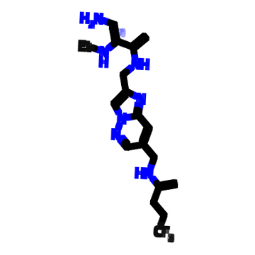 C=C(CCC(F)(F)F)NCc1cnn2cc(CNC(=C)/C(=C/N)NCC)nc2c1